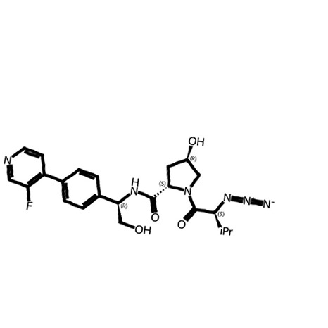 CC(C)[C@H](N=[N+]=[N-])C(=O)N1C[C@H](O)C[C@H]1C(=O)N[C@@H](CO)c1ccc(-c2ccncc2F)cc1